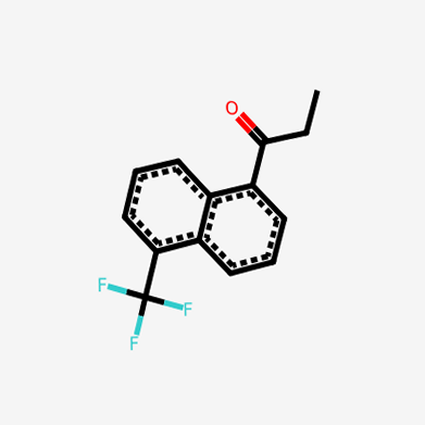 CCC(=O)c1cccc2c(C(F)(F)F)cccc12